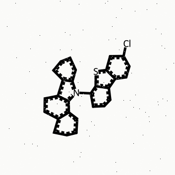 Clc1ccc2c(c1)sc1c(-n3c4ccccc4c4ccc5ccccc5c43)cccc12